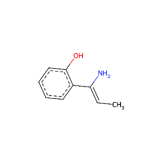 CC=C(N)c1ccccc1O